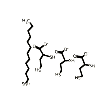 CCCCCCCCCCC[CH2][Sn+3].O=C([O-])C(S)CCS.O=C([O-])C(S)CCS.O=C([O-])C(S)CCS